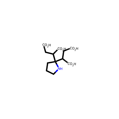 O=C(O)CC(C(=O)O)C1(C(CC(=O)O)C(=O)O)CCCN1